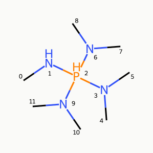 CN[PH](N(C)C)(N(C)C)N(C)C